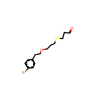 O=CCCSCCCOCCc1ccc(Br)cc1